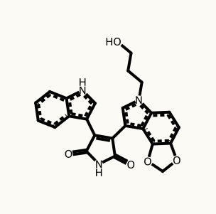 O=C1NC(=O)C(c2cn(CCCO)c3ccc4c(c23)OCO4)=C1c1c[nH]c2ccccc12